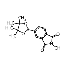 CN1C(=O)c2ccc(B3OC(C)(C)C(C)(C)O3)cc2C1=O